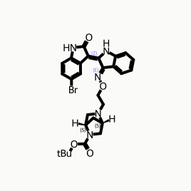 CC(C)(C)OC(=O)N1C[C@@H]2C[C@H]1CN2CCO/N=C1/C(=C2/C(=O)Nc3ccc(Br)cc32)Nc2ccccc21